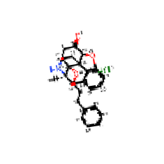 Cl.O=C1CC[C@@]2(OCCCc3ccccc3)[C@H]3Cc4cccc5c4[C@@]2(CCN3)C1O5